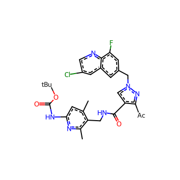 CC(=O)c1nn(Cc2cc(F)c3ncc(Cl)cc3c2)cc1C(=O)NCc1c(C)cc(NC(=O)OC(C)(C)C)nc1C